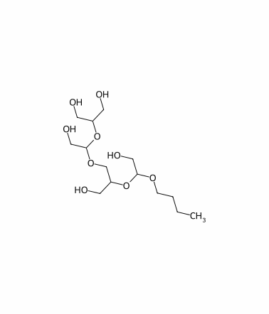 CCCCOC(CO)OC(CO)COC(CO)OC(CO)CO